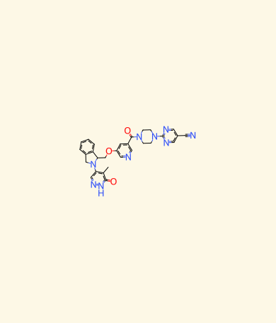 Cc1c(N2Cc3ccccc3C2COc2cncc(C(=O)N3CCN(c4ncc(C#N)cn4)CC3)c2)cn[nH]c1=O